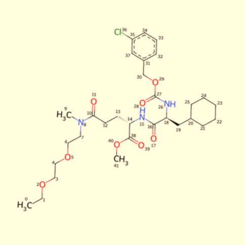 CCOCCOCCN(C)C(=O)CC[C@H](NC(=O)[C@H](CC1CCCCC1)NC(=O)OCc1cccc(Cl)c1)C(=O)OC